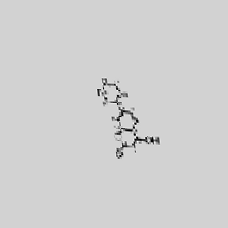 O=c1cc(O)c2ccc(-c3cccnc3)cc2o1